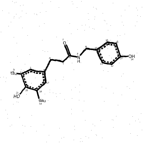 CC(C)(C)c1cc(CCC(=O)NCc2ccc(O)cc2)cc(C(C)(C)C)c1O